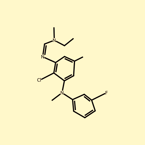 CCN(C)/C=N\c1cc(C)cc(N(C)c2cccc(F)c2)c1Cl